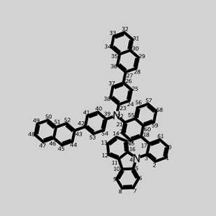 c1ccc(-n2c3ccccc3c3ccccc32)c(-c2ccc(N(c3ccc(-c4ccc5ccccc5c4)cc3)c3ccc(-c4ccc5ccccc5c4)cc3)c3ccccc23)c1